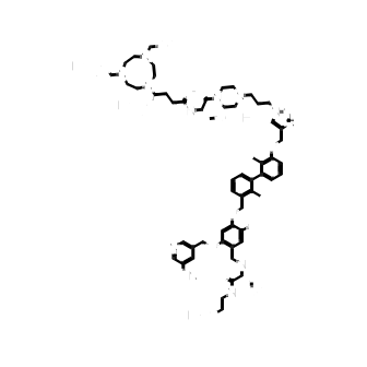 Cc1c(COc2cc(OCc3cncc(C#N)c3)c(CN[C@H](CS(=O)(=O)O)C(=O)NCCS(=O)(=O)O)cc2Cl)cccc1-c1cccc(OCc2cn(CCCN3CCN(C(=O)[C@H](CS(=O)(=O)O)NC(=O)CC[C@@H](C(=O)O)N4CCN(CC(=O)O)CCN(CC(=O)O)CC4)CC3)nn2)c1C